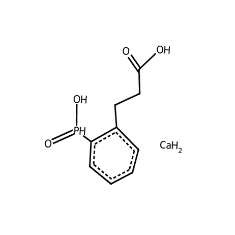 O=C(O)CCc1ccccc1[PH](=O)O.[CaH2]